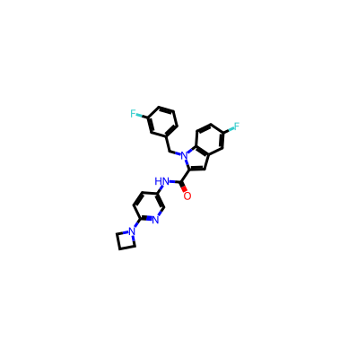 O=C(Nc1ccc(N2CCC2)nc1)c1cc2cc(F)ccc2n1Cc1cccc(F)c1